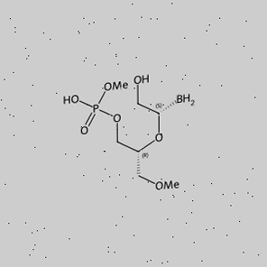 B[C@@H](CO)O[C@H](COC)COP(=O)(O)OC